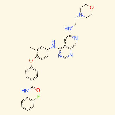 Cc1cc(Nc2ncnc3cnc(NCCN4CCOCC4)cc23)ccc1Oc1ccc(C(=O)Nc2ccccc2F)cc1